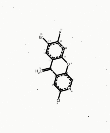 C=C1c2cc(Cl)ncc2Oc2cc(F)c(Br)cc21